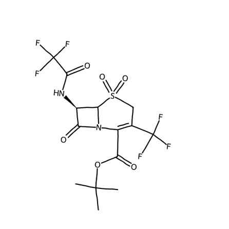 CC(C)(C)OC(=O)C1=C(C(F)(F)F)CS(=O)(=O)C2[C@H](NC(=O)C(F)(F)F)C(=O)N12